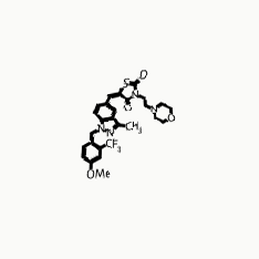 COc1ccc(Cn2nc(C)c3cc(C=C4SC(=O)N(CCN5CCOCC5)C4=O)ccc32)c(C(F)(F)F)c1